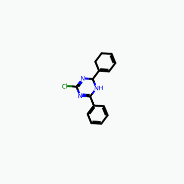 ClC1=NC(C2=CC=CCC2)NC(c2ccccc2)=N1